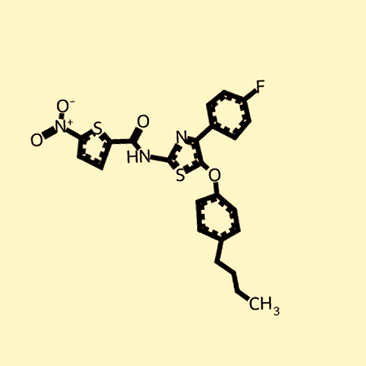 CCCCc1ccc(Oc2sc(NC(=O)c3ccc([N+](=O)[O-])s3)nc2-c2ccc(F)cc2)cc1